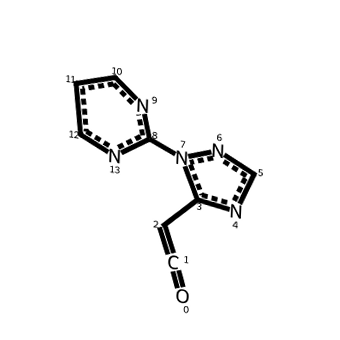 O=C=Cc1ncnn1-c1ncccn1